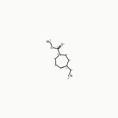 CC(C)(C)OC(=O)N1CCCC(CC#N)CC1